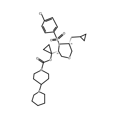 O=C(OC1([C@H]2COC[C@@H](CC3CC3)N2S(=O)(=O)c2ccc(Cl)cc2)CC1)N1CCC(N2CCCCC2)CC1